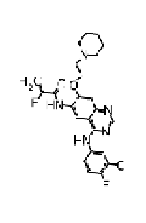 C=C(F)C(=O)Nc1cc2c(Nc3ccc(F)c(Cl)c3)ncnc2cc1OCCN1CCCCC1